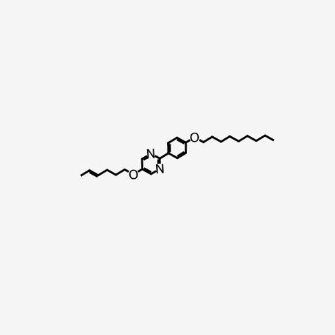 CC=CCCCOc1cnc(-c2ccc(OCCCCCCCCC)cc2)nc1